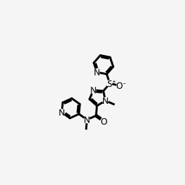 CN(C(=O)c1cnc([S+]([O-])c2ccccn2)n1C)c1cccnc1